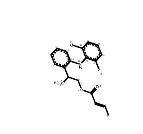 C/C=C/C(=O)OCC(C(=O)O)c1ccccc1Nc1c(Cl)cccc1Cl